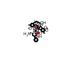 C#CS[C@H]1[C@H]2[C@H]3c4c(cc(C)c(OC)c4O)[C@@]4(C)CC(O)(CN34)N2[C@H]2CC1(OC(=O)[C@@H]1N[C@H](CN)Cc3c1[nH]c1ccccc31)c1c(OC(C)=O)c(C)c3c(c12)OCO3